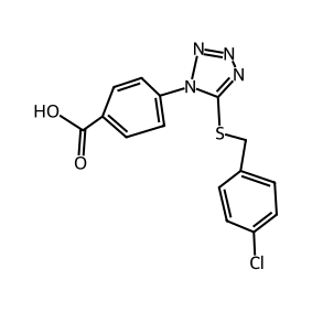 O=C(O)c1ccc(-n2nnnc2SCc2ccc(Cl)cc2)cc1